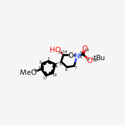 COc1ccc([C@H]2CCN(C(=O)OC(C)(C)C)C[C@@H]2O)cc1